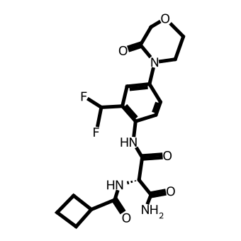 NC(=O)[C@H](NC(=O)C1CCC1)C(=O)Nc1ccc(N2CCOCC2=O)cc1C(F)F